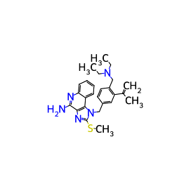 C=C(C)c1cc(Cn2c(SC)nc3c(N)nc4ccccc4c32)ccc1CN(CC)CC